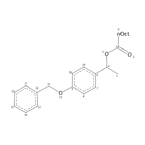 CCCCCCCCC(=O)OC(C)c1ccc(OCc2ccccc2)cc1